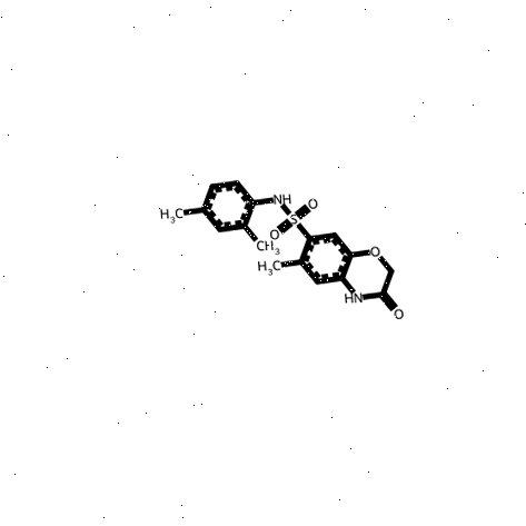 Cc1ccc(NS(=O)(=O)c2cc3c(cc2C)NC(=O)CO3)c(C)c1